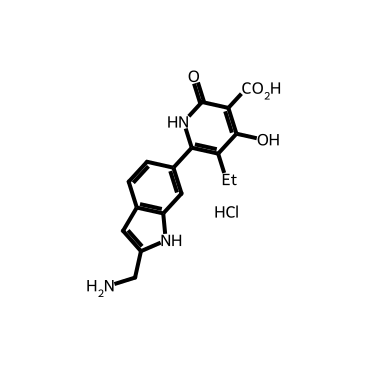 CCc1c(-c2ccc3cc(CN)[nH]c3c2)[nH]c(=O)c(C(=O)O)c1O.Cl